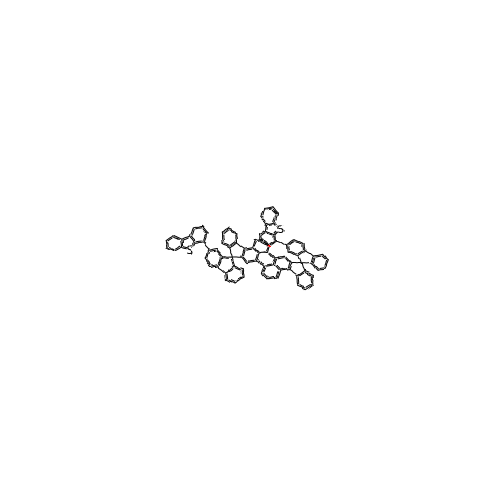 c1ccc2c(c1)-c1ccc(-c3cccc4c3sc3ccccc34)cc1C21c2ccccc2-c2c1cc1c3cccc4c5c(cc(c6cccc2c61)c43)C1(c2ccccc2-c2ccc(-c3cccc4c3sc3ccccc34)cc21)c1ccccc1-5